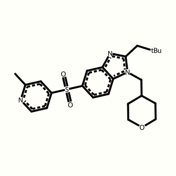 Cc1cc(S(=O)(=O)c2ccc3c(c2)nc(CC(C)(C)C)n3CC2CCOCC2)ccn1